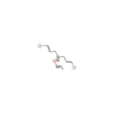 [SiH3]O[SiH](CC=CCl)CC=CCl